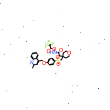 Cc1cc(COc2ccc(S(=O)(=O)CC3(CC(=O)NOC(=O)C(F)(F)F)CCOCC3)cc2)c2ccccc2n1